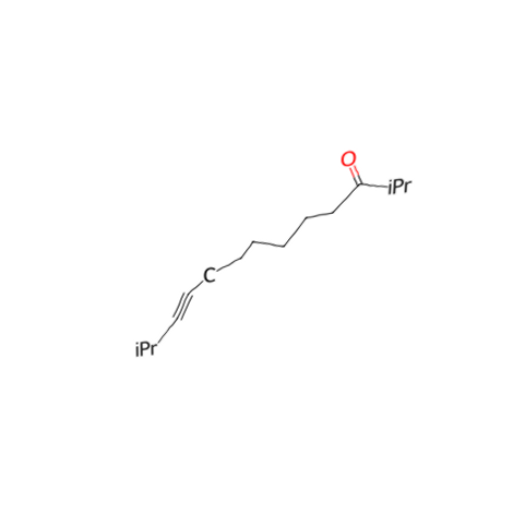 CC(C)C#CCCCCCCC(=O)C(C)C